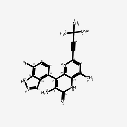 COC(C)(C)C#Cc1cc(C)c2[nH]c(=O)c(N)c(-c3ccc(F)c4[nH]ncc34)c2n1